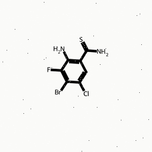 NC(=S)c1cc(Cl)c(Br)c(F)c1N